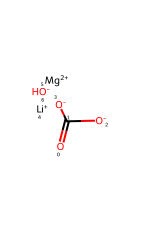 O=C([O-])[O-].[Li+].[Mg+2].[OH-]